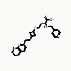 O=C(O)[C@H](CCOC1CC(CCc2ccc3c(n2)NCCC3)C1)NCc1ccncc1